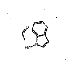 CC=O.On1ccc2ccccc21